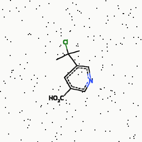 CC(C)(Cl)c1cncc(C(=O)O)c1